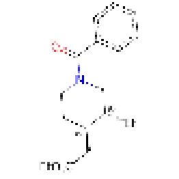 CCOC(=O)C[C@H]1CCN(C(=O)c2ccccc2)C[C@@H]1CC